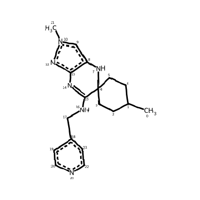 CC1CCC2(CC1)Nc1cn(C)nc1N=C2NCc1ccncc1